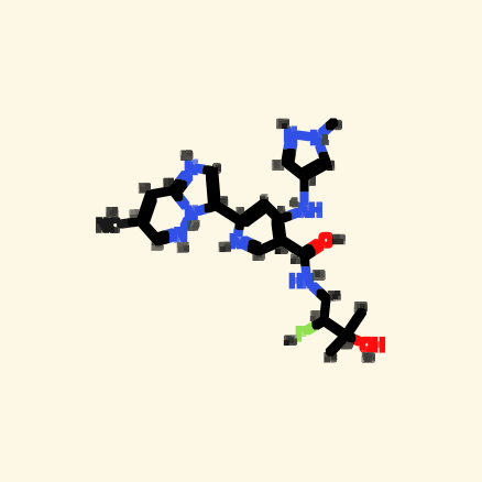 Cn1cc(Nc2cc(-c3cnc4cc(C#N)cnn34)ncc2C(=O)NCC(F)C(C)(C)O)cn1